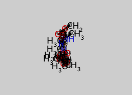 C=CCOc1cc([C@@H](CCC)NC(=O)[C@]2(C)CSC(/C(C)=N/OC(=O)[C@H]3O[C@@H]4OC(C)(C)O[C@@H]4[C@H]4OC(C)(C)O[C@H]43)=N2)oc(=O)c1